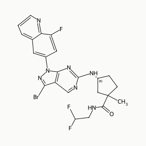 CC1(C(=O)NCC(F)F)CC[C@@H](Nc2ncc3c(Br)nn(-c4cc(F)c5ncccc5c4)c3n2)C1